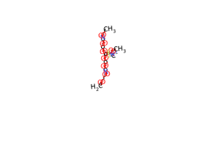 [C-]#[N+]/C(C(=O)OCC)=C1/Sc2c(OC(=O)C3CCC(OC(=O)C4CCN(C(=O)OCCCC)CC4)CC3)ccc(OC(=O)C3CCC(OC(=O)C4CCN(C(=O)OCCCCOC(=O)C=C)CC4)CC3)c2S1